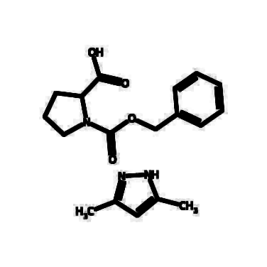 Cc1cc(C)[nH]n1.O=C(O)C1CCCN1C(=O)OCc1ccccc1